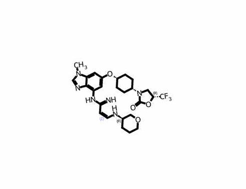 Cn1cnc2c(NC(=N)/C=C\N[C@@H]3CCCOC3)cc(O[C@H]3CC[C@@H](N4C[C@H](C(F)(F)F)OC4=O)CC3)cc21